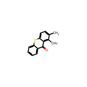 CC(=O)Oc1c(C)ccc2sc3ccccc3c(=O)c12